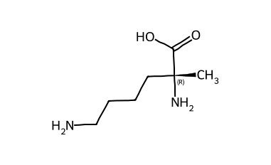 C[C@@](N)(CCCCN)C(=O)O